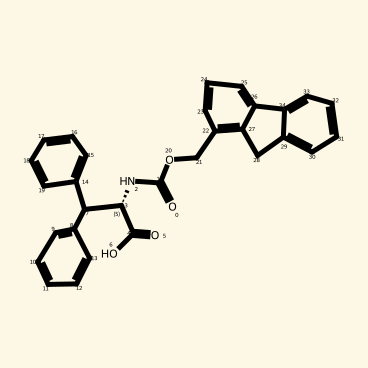 O=C(N[C@H](C(=O)O)C(c1ccccc1)c1ccccc1)OCc1cccc2c1Cc1ccccc1-2